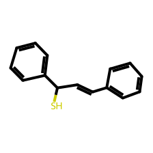 SC(C=Cc1ccccc1)c1ccccc1